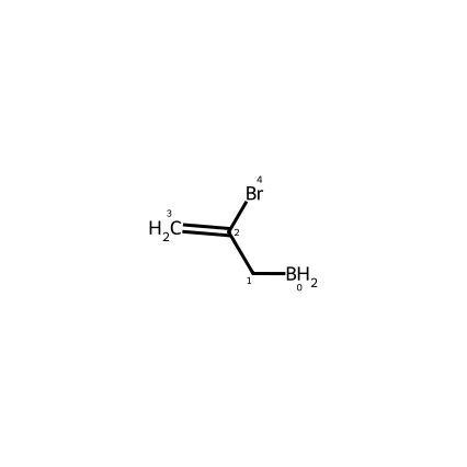 BCC(=C)Br